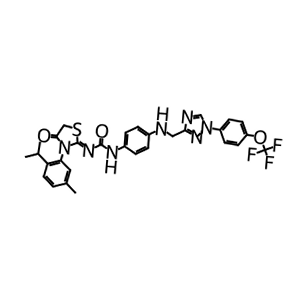 Cc1ccc(C(C)C)c(N2C(=O)CS/C2=N\C(=O)Nc2ccc(NCc3ncn(-c4ccc(OC(F)(F)F)cc4)n3)cc2)c1